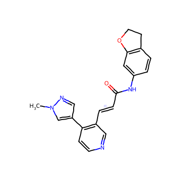 Cn1cc(-c2ccncc2/C=C/C(=O)Nc2ccc3c(c2)OCC3)cn1